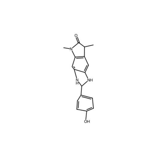 CC1C(=O)N(C)c2cc3c(cc21)NC(c1ccc(O)cc1)N3